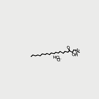 CCCCCCCCCCCCCCCCCC(=O)C(O)C[N+](C)(C)C.Cl.[Cl-]